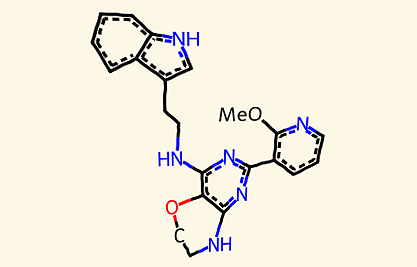 COc1ncccc1-c1nc2c(c(NCCc3c[nH]c4ccccc34)n1)OCCN2